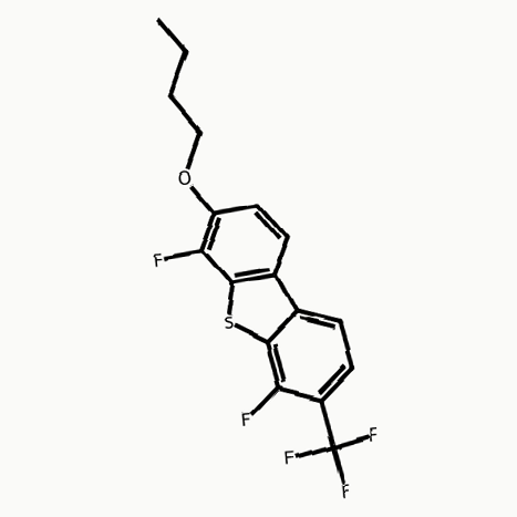 CCCCOc1ccc2c(sc3c(F)c(C(F)(F)F)ccc32)c1F